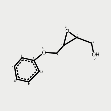 OCC1OC1COc1ccccc1